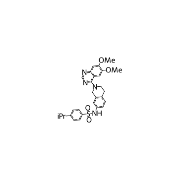 COc1cc2ncnc(N3CCc4ccc(NS(=O)(=O)c5ccc(C(C)C)cc5)cc4C3)c2cc1OC